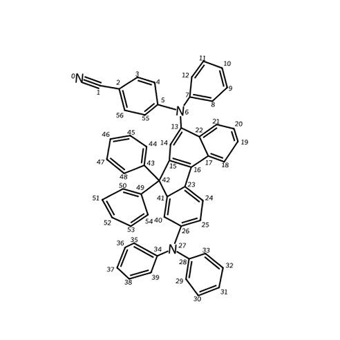 N#Cc1ccc(N(c2ccccc2)c2cc3c(c4ccccc24)-c2ccc(N(c4ccccc4)c4ccccc4)cc2C3(c2ccccc2)c2ccccc2)cc1